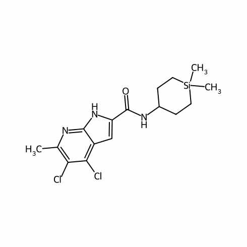 Cc1nc2[nH]c(C(=O)NC3CC[Si](C)(C)CC3)cc2c(Cl)c1Cl